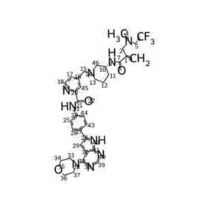 C=C(CN(C)CC(F)(F)F)C(=O)N[C@@H]1CCCN(Cc2ccnc(C(=O)Nc3ccc(-c4cc5c(N6CCOCC6)ncnc5[nH]4)cc3)c2)C1